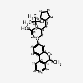 CC1Oc2cc(OCC(CC3CCCC3)N(C(=O)O)C(C)(C)C)ccc2-c2ccncc21